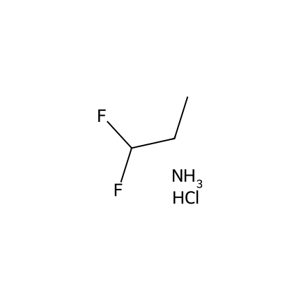 CCC(F)F.Cl.N